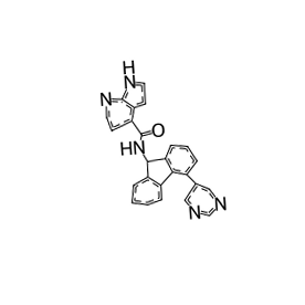 O=C(NC1c2ccccc2-c2c(-c3cncnc3)cccc21)c1ccnc2[nH]ccc12